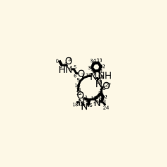 C=CC(=O)NCCOC1CCCOc2c(cnn2C)-c2cc(cc(C)n2)C(=O)/N=C2\Nc3ccccc3N2C1